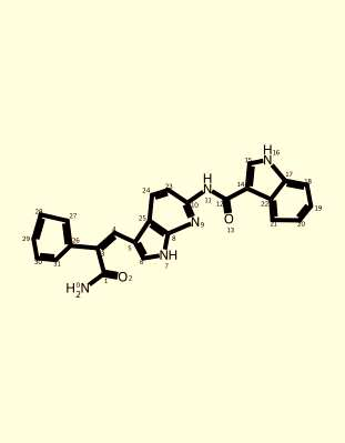 NC(=O)/C(=C\c1c[nH]c2nc(NC(=O)c3c[nH]c4ccccc34)ccc12)c1ccccc1